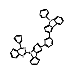 c1ccc(-c2nc(-n3c4ccccc4c4cc(-c5cccc(-c6ccc7c(c6)c6ccccc6n7-c6ccccc6)c5)ccc43)nc3ccccc23)cc1